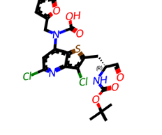 CC(C)(C)OC(=O)N[C@@H](C=O)Cc1sc2c(N(Cc3ccco3)C(=O)O)cc(Cl)nc2c1Cl